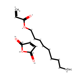 C=CC(=O)OCCCCCCCCCCCCCCCCCC.O=C1C=CC(=O)O1